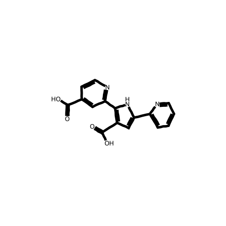 O=C(O)c1ccnc(-c2[nH]c(-c3ccccn3)cc2C(=O)O)c1